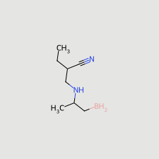 BCC(C)NCC(C#N)CC